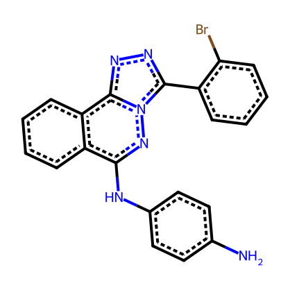 Nc1ccc(Nc2nn3c(-c4ccccc4Br)nnc3c3ccccc23)cc1